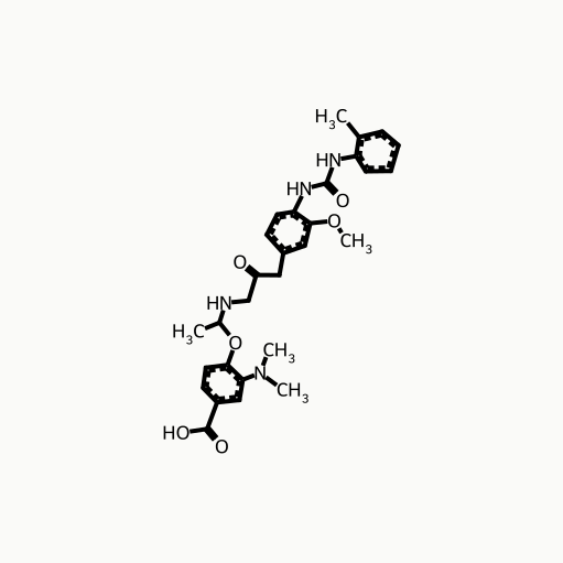 COc1cc(CC(=O)CNC(C)Oc2ccc(C(=O)O)cc2N(C)C)ccc1NC(=O)Nc1ccccc1C